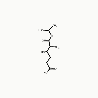 CC(C)OC(=O)C(N)C(O)CCC(=O)O